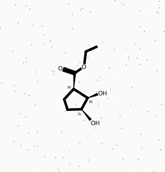 CCOC(=O)[C@@H]1CC[C@H](O)[C@@H]1O